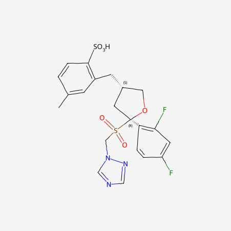 Cc1ccc(S(=O)(=O)O)c(C[C@@H]2CO[C@@](c3ccc(F)cc3F)(S(=O)(=O)Cn3cncn3)C2)c1